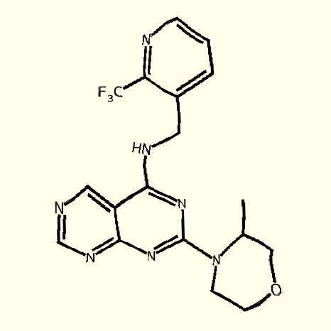 CC1COCCN1c1nc(NCc2cccnc2C(F)(F)F)c2cncnc2n1